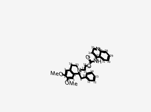 COc1cc2c(cc1OC)C(Cc1ccccc1)N(CCOC(=O)Nc1ccnc3ccccc13)CC2